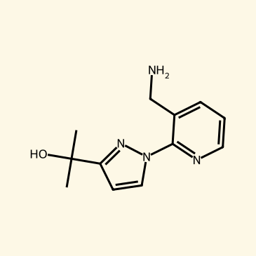 CC(C)(O)c1ccn(-c2ncccc2CN)n1